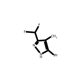 Cc1c(C(F)F)n[nH]c1C(C)C